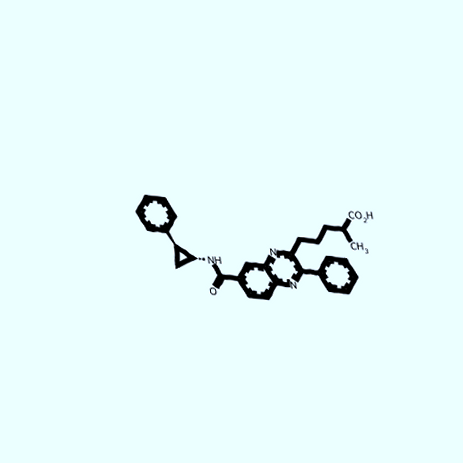 CC(CCCc1nc2cc(C(=O)N[C@@H]3C[C@H]3c3ccccc3)ccc2nc1-c1ccccc1)C(=O)O